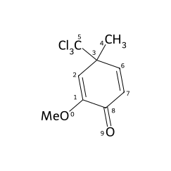 COC1=CC(C)(C(Cl)(Cl)Cl)C=CC1=O